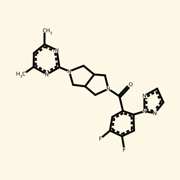 Cc1cc(C)nc(N2CC3CN(C(=O)c4cc(F)c(F)cc4-n4nccn4)CC3C2)n1